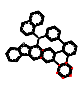 c1ccc(-c2ccccc2-c2c(-c3ccccc3)cccc2-c2cccc(N(c3cccc4ccccc34)c3cccc4c3oc3ccccc34)c2)cc1